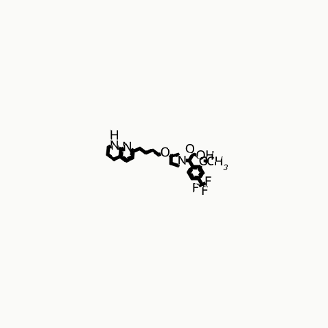 COc1cc(C(F)(F)F)ccc1C(C(=O)O)N1CCC(OCCCCc2ccc3c(n2)NCCC3)C1